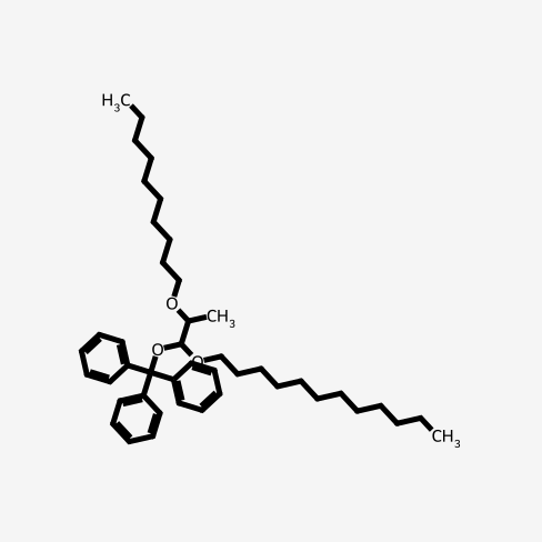 CCCCCCCCCCCCOC(OC(c1ccccc1)(c1ccccc1)c1ccccc1)C(C)OCCCCCCCCCC